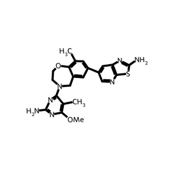 COc1nc(N)nc(N2CCOc3c(C)cc(-c4cnc5sc(N)nc5c4)cc3C2)c1C